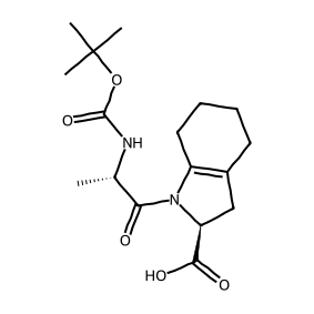 C[C@H](NC(=O)OC(C)(C)C)C(=O)N1C2=C(CCCC2)C[C@H]1C(=O)O